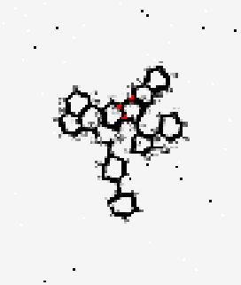 c1ccc(-c2ccc(-c3nc(-c4ccccc4-c4cccc5sc6ccccc6c45)nc(-c4cccc5cccc(-c6ccc7oc8cc9ccccc9cc8c7c6)c45)n3)cc2)cc1